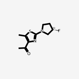 CC(=O)c1nc(N2CC[C@H](F)C2)sc1C